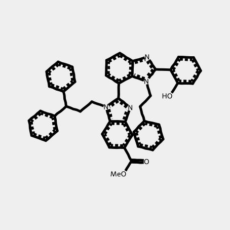 COC(=O)c1ccc2c(c1)nc(-c1cccc3nc(-c4ccccc4O)n(CCc4ccccc4)c13)n2CCC(c1ccccc1)c1ccccc1